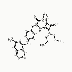 CCCN(CCC)c1c(N[C@@H](Cc2ccc(Nc3nc(C)cc4ccccc34)cc2)C(=O)OC)c(=O)c1=O